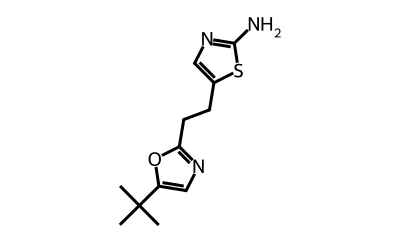 CC(C)(C)c1cnc(CCc2cnc(N)s2)o1